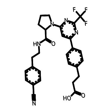 N#Cc1ccc(CCNC(=O)C2CCCN2c2cc(-c3ccc(CCC(=O)O)cc3)nc(C(F)(F)F)n2)cc1